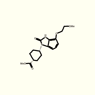 COCCOc1cccc2c1[nH]c(=O)n2[C@H]1CC[C@@H](C(=O)OC)CC1